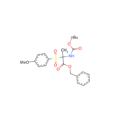 CCCCOC(=O)NC(C)(C(=O)OCc1ccccc1)S(=O)(=O)c1ccc(OC)cc1